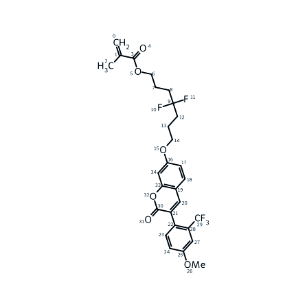 C=C(C)C(=O)OCCCC(F)(F)CCCOc1ccc2cc(-c3ccc(OC)cc3C(F)(F)F)c(=O)oc2c1